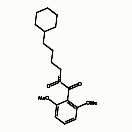 COc1cccc(OC)c1C(=O)[PH](=O)CCCCC1CCCCC1